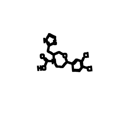 O=C(O)N1CCC(c2ccc(Cl)c(Cl)c2)OCC1Cc1nccs1